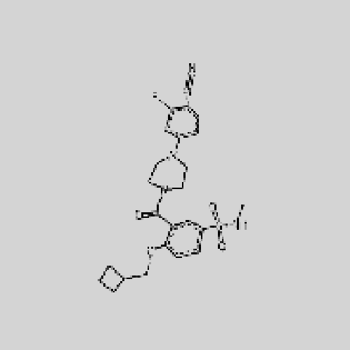 CNS(=O)(=O)c1ccc(OCC2CCC2)c(C(=O)N2CCN(c3ccc(C#N)c(F)c3)CC2)c1